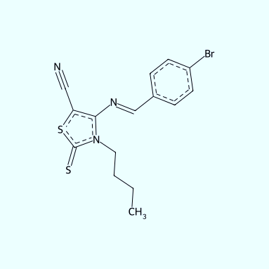 CCCCn1c(N=Cc2ccc(Br)cc2)c(C#N)sc1=S